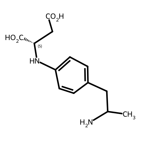 CC(N)Cc1ccc(N[C@@H](CC(=O)O)C(=O)O)cc1